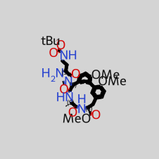 COC(=O)[C@@H]1Cc2ccc(OC)c(c2)-c2cc(ccc2OC)[C@H](N(C)C(=O)[C@@H](N)CCNC(=O)OC(C)(C)C)C(=O)N[C@@H](C)C(=O)N1